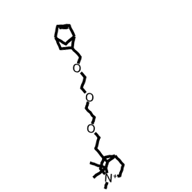 CC1(C)C(CCOCCOCCOCC2CC3C=CC2C3)C2CC[N+]1(C)CC2